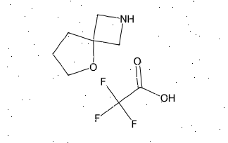 C1COC2(C1)CNC2.O=C(O)C(F)(F)F